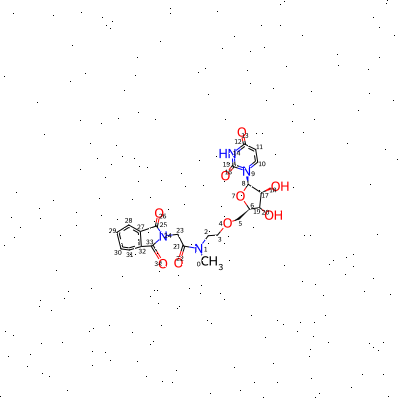 CN(CCOC[C@H]1O[C@@H](n2ccc(=O)[nH]c2=O)[C@@H](O)C1O)C(=O)CN1C(=O)c2ccccc2C1=O